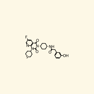 O=C(Cc1cccc(O)c1)N[C@H]1CC[C@@H](n2c(=O)c3cc(F)cnc3n(C3CCSCC3)c2=O)CC1